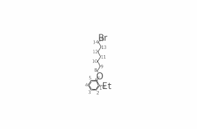 CCc1ccccc1OCCCCCCCBr